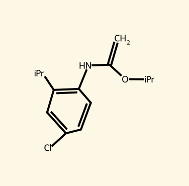 C=C(Nc1ccc(Cl)cc1C(C)C)OC(C)C